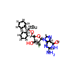 CC(C)(C)[Si](OC[C@H]1O[C@@H](n2cnc3c(=O)[nH]c(N)nc32)[C@H](F)[C@@H]1O)(c1ccccc1)c1ccccc1